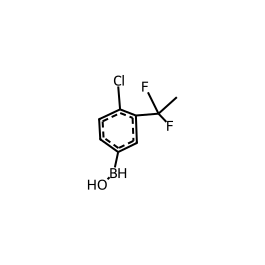 CC(F)(F)c1cc(BO)ccc1Cl